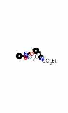 CCOC(=O)N1C[C@@H](Cc2cccc(OCc3noc(-c4ccccc4)n3)c2)[C@@H](C(=O)O)C1